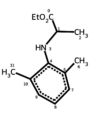 CCOC(=O)C(C)Nc1c(C)cccc1C